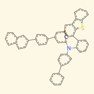 c1ccc(-c2ccc(N(c3cccc(-c4ccc(-c5ccc6ccccc6c5)cc4)c3)c3ccccc3-c3cccc4c3sc3ccccc34)cc2)cc1